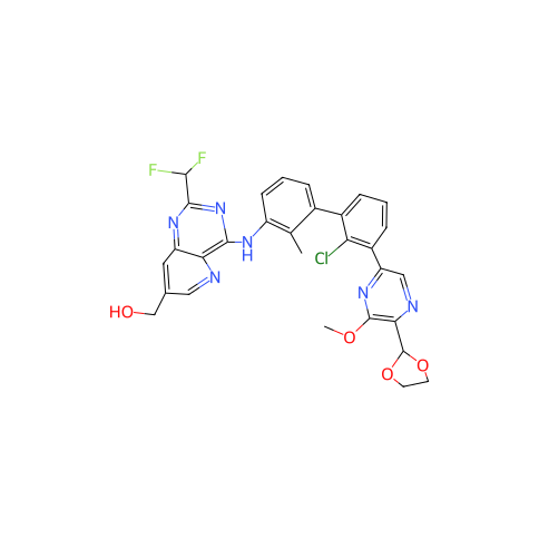 COc1nc(-c2cccc(-c3cccc(Nc4nc(C(F)F)nc5cc(CO)cnc45)c3C)c2Cl)cnc1C1OCCO1